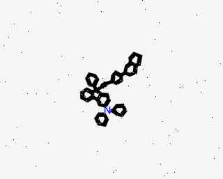 C(#CC1(C2=CCCC=C2)c2ccccc2-c2cc(N(c3ccccc3)c3ccccc3)ccc21)c1ccc(C2C=c3ccccc3=CC2)cc1